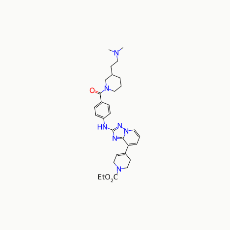 CCOC(=O)N1CC=C(c2cccn3nc(Nc4ccc(C(=O)N5CCCC(CCN(C)C)C5)cc4)nc23)CC1